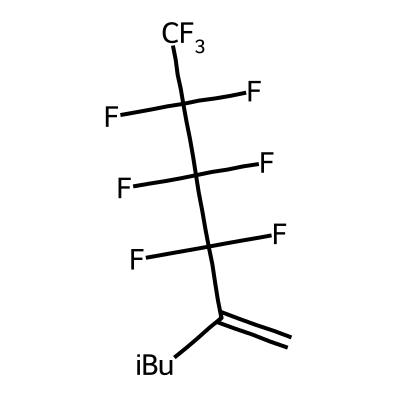 C=C(C(C)CC)C(F)(F)C(F)(F)C(F)(F)C(F)(F)F